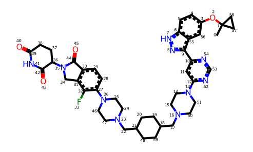 CC1(Oc2ccc3[nH]nc(-c4cc(N5CCN(CC6CCC(CN7CCN(c8ccc9c(c8F)CN(C8CCC(=O)NC8=O)C9=O)CC7)CC6)CC5)ncn4)c3c2)CC1